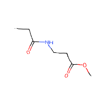 [CH2]CC(=O)NCCC(=O)OC